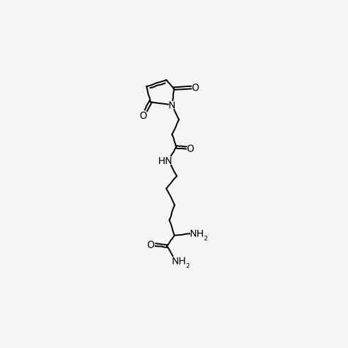 NC(=O)C(N)CCCCNC(=O)CCN1C(=O)C=CC1=O